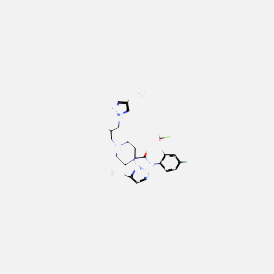 COc1cnn(CC(CN2CCC(C(=O)Nc3ccc(Cl)cc3OC(F)F)(n3nccc3C(C)C)CC2)C(=O)O)c1